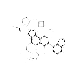 CC(=O)N1CCC[C@@H]1c1cc2c(O[C@@H](C)[C@@H]3CCCN3C)nc3c(F)c(-c4cccc5scnc45)ncc3c2n1[C@H]1[C@@H](CN)C[C@@H]1C